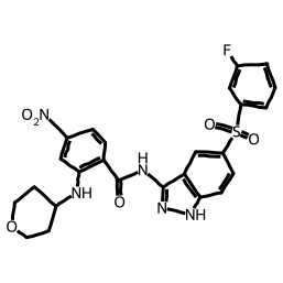 O=C(Nc1n[nH]c2ccc(S(=O)(=O)c3cccc(F)c3)cc12)c1ccc([N+](=O)[O-])cc1NC1CCOCC1